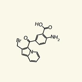 Nc1ccc(C(=O)c2c(CBr)cc3ccccn23)cc1C(=O)O